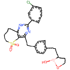 O=S1(=O)CCCc2nc(-c3cccc(Cl)c3)nc(Cc3ccc(CC4CCOB4O)cc3)c21